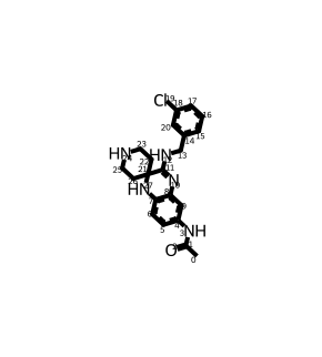 CC(=O)Nc1ccc2c(c1)N=C(NCc1cccc(Cl)c1)C1(CCNCC1)N2